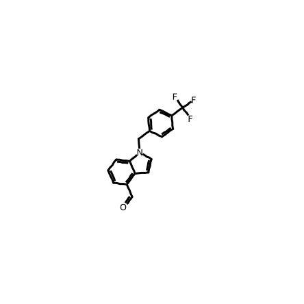 O=Cc1cccc2c1ccn2Cc1ccc(C(F)(F)F)cc1